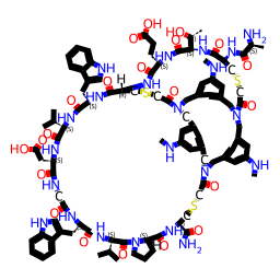 CNc1cc2cc(c1)CN1Cc3cc(cc(NC)c3)CN3Cc4cc(cc(NC)c4)CN(C2)C(=O)CSC[C@@H](C(N)=O)NC(=O)[C@@H]2CCCN2C(=O)[C@H](C(C)C)NC(=O)[C@H](Cc2c[nH]c4ccccc24)NC(=O)CNC(=O)[C@H](CC(=O)O)NC(=O)[C@H](C(C)C)NC(=O)[C@H](Cc2c[nH]c4ccccc24)NC(=O)[C@H](CSCC3=O)NC(=O)[C@H](CCC(=O)O)NC(=O)[C@H]([C@@H](C)O)NC(=O)[C@@H](NC(=O)[C@H](C)N)CSCC1=O